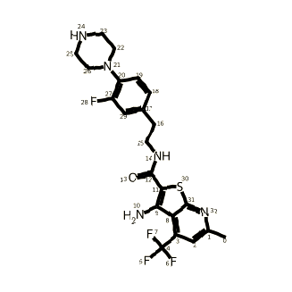 Cc1cc(C(F)(F)F)c2c(N)c(C(=O)NCCc3ccc(N4CCNCC4)c(F)c3)sc2n1